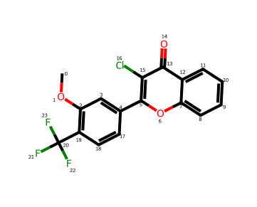 COc1cc(-c2oc3ccccc3c(=O)c2Cl)ccc1C(F)(F)F